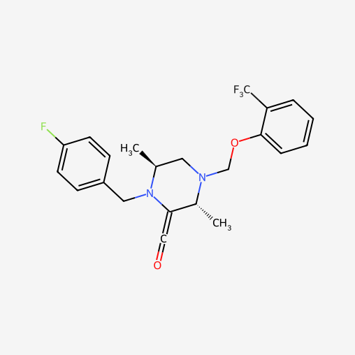 C[C@@H]1C(=C=O)N(Cc2ccc(F)cc2)[C@@H](C)CN1COc1ccccc1C(F)(F)F